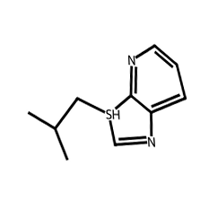 CC(C)C[SH]1C=Nc2cccnc21